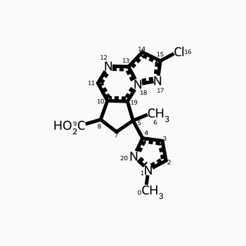 Cn1ccc(C2(C)CC(C(=O)O)c3cnc4cc(Cl)nn4c32)n1